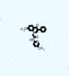 Cc1ccc(NC(=O)Cn2cc(-c3ccccc3)c(=O)c3ccc(C)cc32)nc1